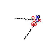 CCCCCCCCCCCCCC(=O)OCCN(COC(=O)CCCCCCCCCCCCC)C(=O)[C@H]1CCCN1C